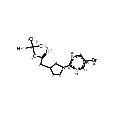 CC(C)(C)OC(=O)CC1CCN(c2ncc(Br)cn2)C1